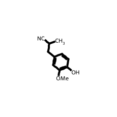 COc1cc(CC(C)C#N)ccc1O